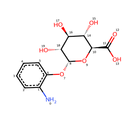 Nc1ccccc1O[C@H]1O[C@H](C(=O)O)[C@@H](O)[C@H](O)[C@H]1O